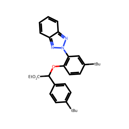 CCOC(=O)C(Oc1ccc(C(C)(C)C)cc1-n1nc2ccccc2n1)c1ccc(C(C)(C)C)cc1